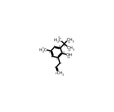 C=CCc1cc(C)cc(C(C)(C)C)c1O